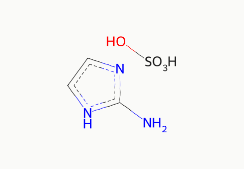 Nc1ncc[nH]1.O=S(=O)(O)O